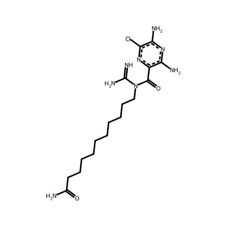 N=C(N)N(CCCCCCCCCCC(N)=O)C(=O)c1nc(Cl)c(N)nc1N